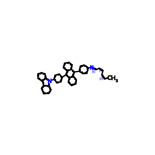 C\C=C/C=C\C=N\c1ccc(-c2c3ccccc3c(-c3ccc(-n4c5ccccc5c5ccccc54)cc3)c3ccccc23)cc1